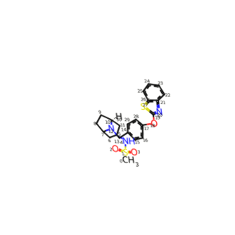 CS(=O)(=O)N[C@H]1CC2CC[C@@H](C1)N2Cc1ccc(Oc2nc3ccccc3s2)cc1